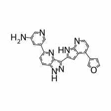 Nc1cncc(-c2ccc3[nH]nc(-c4cc5c(-c6ccoc6)ccnc5[nH]4)c3n2)c1